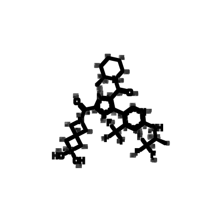 C[C@H](Nc1cc(C(F)(F)F)c(-c2sc(C(=O)N3CC4(C3)CS(O)(O)C4)nc2C(=O)N2CCCC[C@@H]2C)cn1)C(F)(F)F